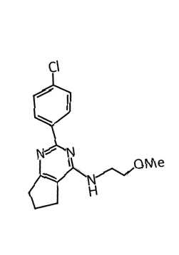 COCCNc1nc(-c2ccc(Cl)cc2)nc2c1CCC2